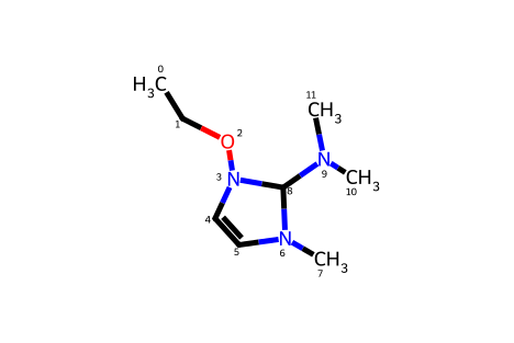 CCON1C=CN(C)C1N(C)C